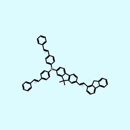 CC1(C)c2cc(/C=C/c3cccc4c3Cc3ccccc3-4)ccc2-c2ccc(N(c3ccc(/C=C/c4ccccc4)cc3)c3ccc(/C=C/c4ccccc4)cc3)cc21